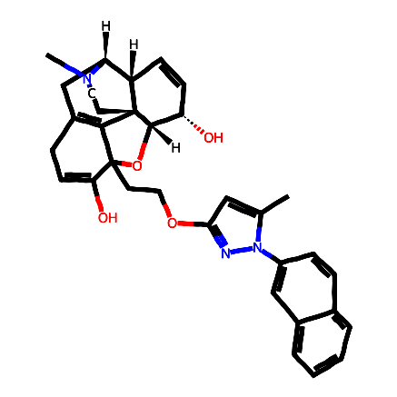 Cc1cc(OCCC23O[C@H]4[C@@H](O)C=C[C@H]5[C@H]6CC(=C2[C@]54CCN6C)CC=C3O)nn1-c1ccc2ccccc2c1